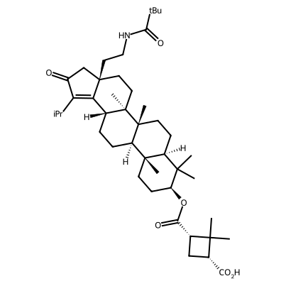 CC(C)C1=C2[C@H]3CC[C@@H]4[C@@]5(C)CC[C@H](OC(=O)[C@H]6C[C@@H](C(=O)O)C6(C)C)C(C)(C)[C@@H]5CC[C@@]4(C)[C@]3(C)CC[C@@]2(CCNC(=O)C(C)(C)C)CC1=O